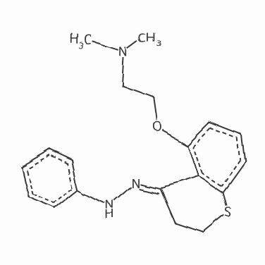 CN(C)CCOc1cccc2c1/C(=N/Nc1ccccc1)CCS2